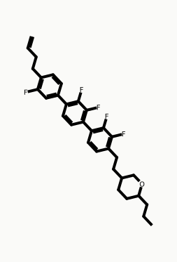 C=CCCc1ccc(-c2ccc(-c3ccc(CCC4CCC(CCC)OC4)c(F)c3F)c(F)c2F)cc1F